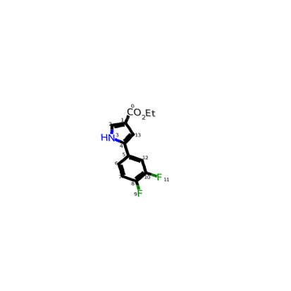 CCOC(=O)c1c[nH]c(-c2ccc(F)c(F)c2)c1